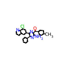 Cc1ccc(C(=O)c2nc(-c3cc(Cl)c4ncccc4c3)c(-c3ccccc3)nc2N)cc1